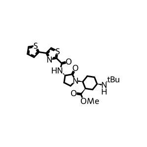 COC(=O)[C@@H]1C[C@H](NC(C)(C)C)CC[C@@H]1N1CC[C@H](NC(=O)c2nc(-c3cccs3)cs2)C1=O